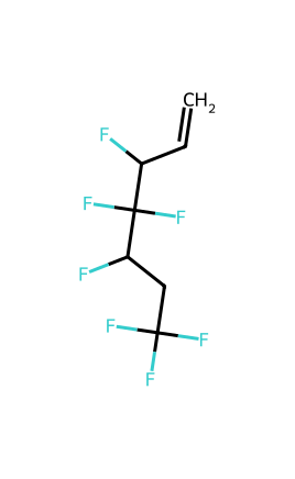 C=CC(F)C(F)(F)C(F)CC(F)(F)F